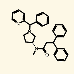 CN(C(=O)CC(c1ccccc1)c1ccccc1)[C@@H]1CCN(C(c2ccccc2)c2ccccn2)C1